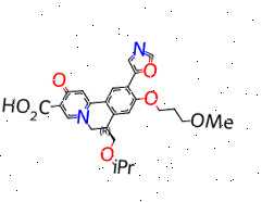 COCCCOc1cc2c(cc1-c1cnco1)-c1cc(=O)c(C(=O)O)cn1C[C@@H]2COC(C)C